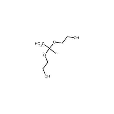 [CH2]C(OCCO)(OCCO)C(=O)O